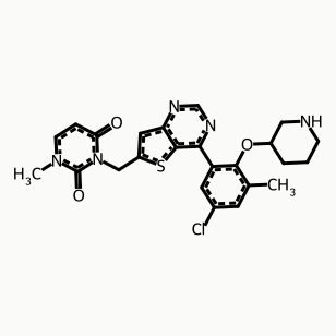 Cc1cc(Cl)cc(-c2ncnc3cc(Cn4c(=O)ccn(C)c4=O)sc23)c1OC1CCCNC1